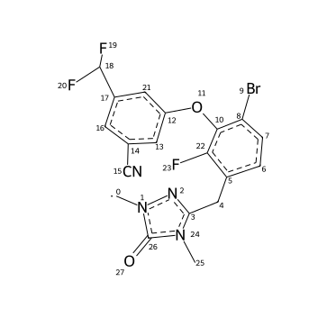 [CH2]n1nc(Cc2ccc(Br)c(Oc3cc(C#N)cc(C(F)F)c3)c2F)n(C)c1=O